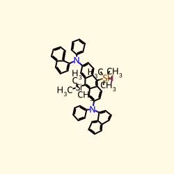 C[Si](C)(C)c1c2cc(N(c3ccccc3)c3cccc4ccccc34)ccc2c([SH](C)(C)(C)I)c2ccc(N(c3ccccc3)c3cccc4ccccc34)cc12